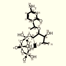 C#C[C@H](OP(=O)(O)OP(=O)(O)OP(=O)(O)O)C(OC(C)n1ccc(N)nc1=O)C(O)C(F)F